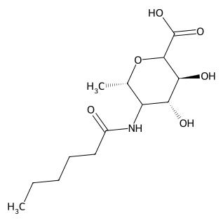 CCCCCC(=O)NC1[C@H](C)OC(C(=O)O)[C@@H](O)[C@@H]1O